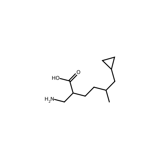 CC(CCC(CN)C(=O)O)CC1CC1